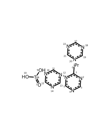 CC(C)c1ncncn1.[O]=[Ti]([OH])[OH].c1ncncn1.c1ncncn1